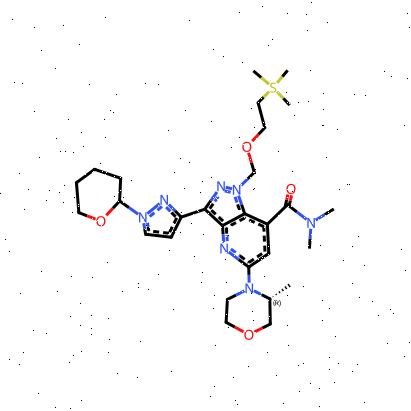 C[C@@H]1COCCN1c1cc(C(=O)N(C)C)c2c(n1)c(-c1ccn(C3CCCCO3)n1)nn2COCCS(C)(C)C